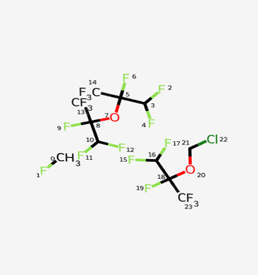 CF.FC(F)C(F)(OC(F)(C(F)F)C(F)(F)F)C(F)(F)F.FC(F)C(F)(OCCl)C(F)(F)F